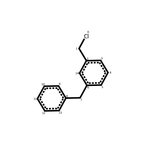 ClCc1cccc(Cc2ccccc2)c1